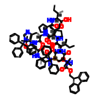 CC[C@H](C)[C@H](NC(=O)[C@@H]1CCCN1C(=O)[C@@H]1CCCN1C(=O)[C@@H](NC(=O)[C@H](COC(C)(C)C)NC(=O)[C@H](C)NC(=O)[C@@H](NC(=O)[C@H](Cc1cn(C(c2ccccc2)(c2ccccc2)c2ccccc2)cn1)NC(=O)[C@@H](NC(=O)CNC(=O)[C@H](CSC(c1ccccc1)(c1ccccc1)c1ccccc1)NC(=O)OCC1c2ccccc2-c2ccccc21)[C@@H](C)CC)[C@@H](C)OC(C)(C)C)[C@@H](C)CC)C(=O)O